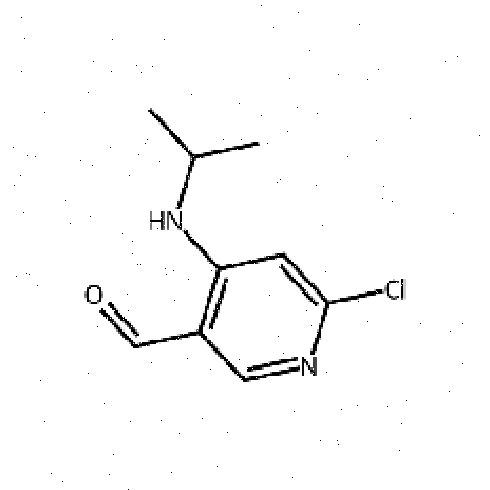 CC(C)Nc1cc(Cl)ncc1C=O